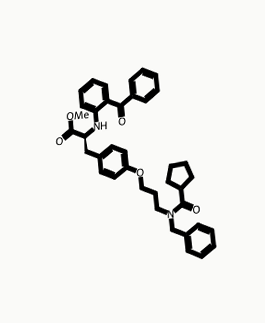 COC(=O)[C@H](Cc1ccc(OCCCN(Cc2ccccc2)C(=O)C2CCCC2)cc1)Nc1ccccc1C(=O)c1ccccc1